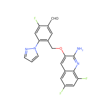 Nc1nc2c(F)cc(F)cc2cc1OCc1cc(C=O)c(F)cc1-n1cccn1